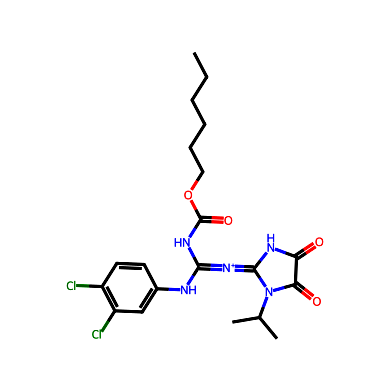 CCCCCCOC(=O)NC(=[N+]=C1NC(=O)C(=O)N1C(C)C)Nc1ccc(Cl)c(Cl)c1